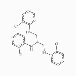 Clc1ccccc1NCC(CNc1ccccc1Cl)Nc1ccccc1Cl